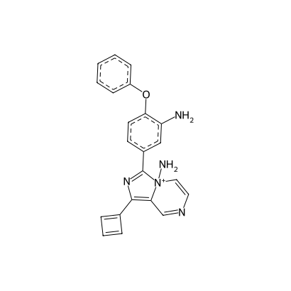 Nc1cc(C2=NC(C3=CC=C3)=C3C=NC=C[N+]23N)ccc1Oc1ccccc1